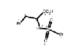 CC(C)CC(NS(=O)(=O)C(C)C)C(=O)O